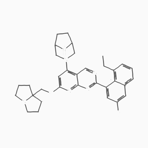 CCc1cccc2cc(O)cc(-c3ncc4c(N5CC6CCC(C5)N6)cc(OCC56CCCN5CCC6)nc4n3)c12